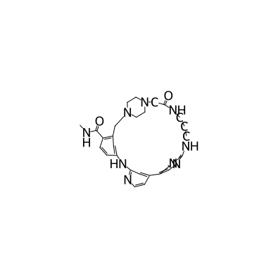 CNC(=O)c1ccc2cc1CN1CCN(CC1)CC(=O)NCCCNc1ncc(cn1)-c1ccnc(c1)N2